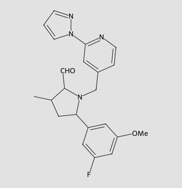 COc1cc(F)cc(C2CC(C)C(C=O)N2Cc2ccnc(-n3cccn3)c2)c1